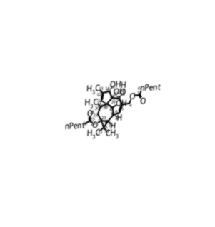 CCCCCC(=O)OCC1=C[C@@H]2C(O)[C@]3(C=C(C)[C@H](O)[C@@]3(O)[C@@H]1O)[C@H](C)C[C@]1(OC(=O)CCCCC)[C@H]2C1(C)C